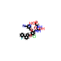 C[C@@H](CC(=O)O)NC(=O)C(CO)NCc1cc(Cl)c(O[C@H]2CCc3c(-c4ccccc4F)cccc32)cc1OCc1cncc(C#N)c1